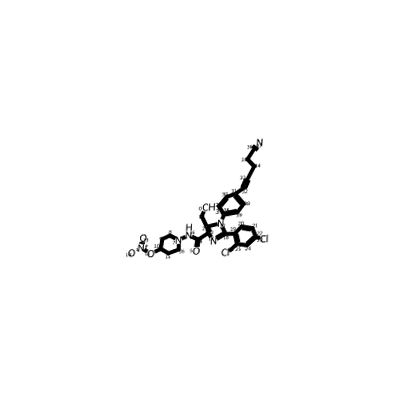 CCc1c(C(=O)NN2CCC(O[N+](=O)[O-])CC2)nc(-c2ccc(Cl)cc2Cl)n1-c1ccc(C#CCCC#N)cc1